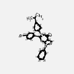 CC(C)c1ccc(-n2c(-c3ccc(Br)cc3)nc3c(cnn3-c3ccccc3)c2=O)cc1